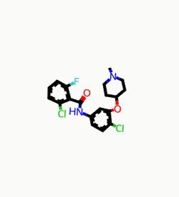 CN1CCC(Oc2cc(NC(=O)c3c(F)cccc3Cl)ccc2Cl)CC1